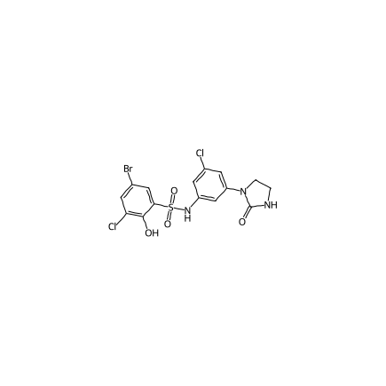 O=C1NCCN1c1cc(Cl)cc(NS(=O)(=O)c2cc(Br)cc(Cl)c2O)c1